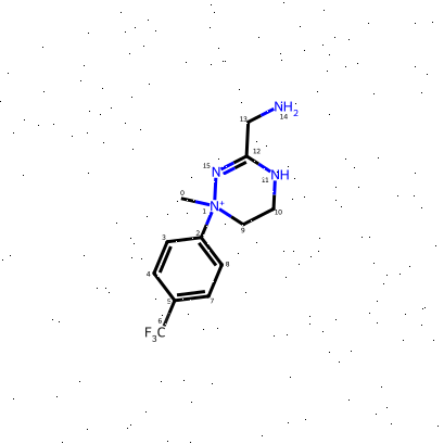 C[N+]1(c2ccc(C(F)(F)F)cc2)CCNC(CN)=N1